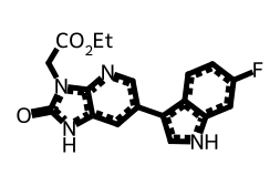 CCOC(=O)Cn1c(=O)[nH]c2cc(-c3c[nH]c4cc(F)ccc34)cnc21